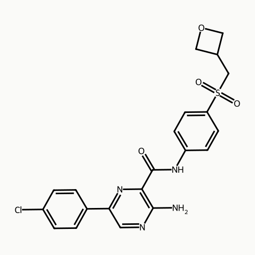 Nc1ncc(-c2ccc(Cl)cc2)nc1C(=O)Nc1ccc(S(=O)(=O)CC2COC2)cc1